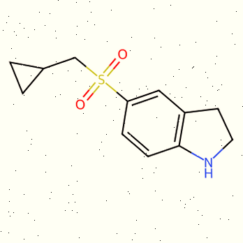 O=S(=O)(CC1CC1)c1ccc2c(c1)CCN2